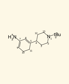 CC(C)(C)N1CCC(C2=CC(N)=CCC2)CC1